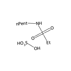 CCCCCNS(=O)(=O)CC.O=S(=O)(O)O